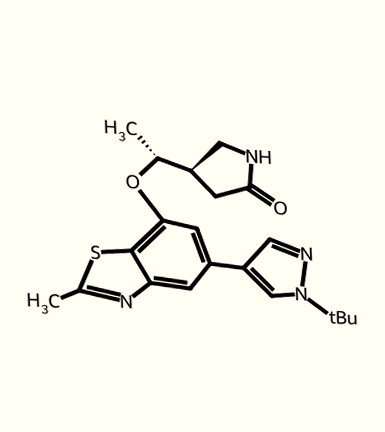 Cc1nc2cc(-c3cnn(C(C)(C)C)c3)cc(O[C@H](C)[C@H]3CNC(=O)C3)c2s1